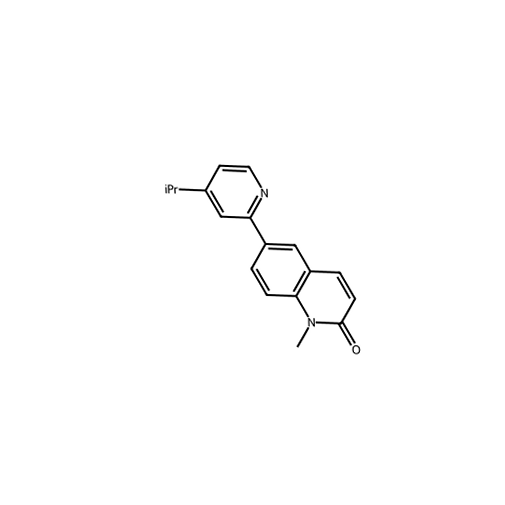 CC(C)c1ccnc(-c2ccc3c(ccc(=O)n3C)c2)c1